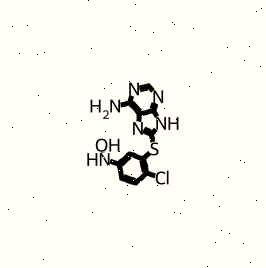 Nc1ncnc2[nH]c(Sc3cc(NO)ccc3Cl)nc12